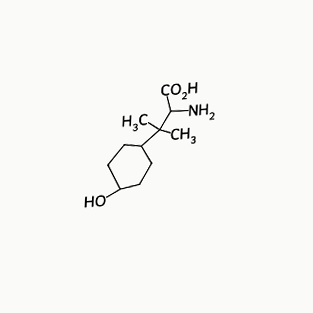 CC(C)(C1CCC(O)CC1)C(N)C(=O)O